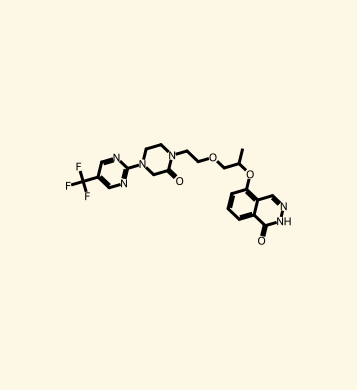 CC(COCCN1CCN(c2ncc(C(F)(F)F)cn2)CC1=O)Oc1cccc2c(=O)[nH]ncc12